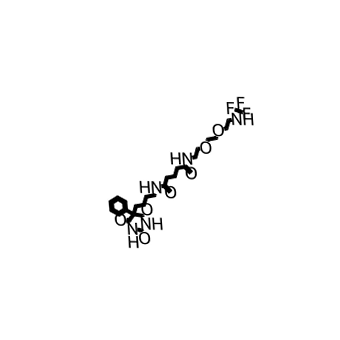 O=C(CCCC(=O)NCCOCCOCCNC(F)(F)F)NCCCCC1(c2ccccc2)C(=O)NC(=O)NC1=O